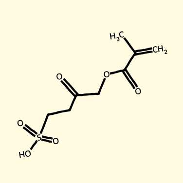 C=C(C)C(=O)OCC(=O)CCS(=O)(=O)O